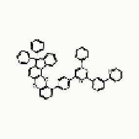 c1ccc(-c2cc(-c3ccc(-c4cccc5c4Oc4c(ccc6c4-c4ccccc4C6(c4ccccc4)c4ccccc4)O5)cc3)nc(-c3cccc(-c4ccccn4)c3)n2)cc1